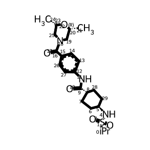 CC(C)S(=O)(=O)N[C@H]1CC[C@H](C(=O)Nc2ccc(C(=O)N3C[C@@H](C)O[C@@H](C)C3)cc2)CC1